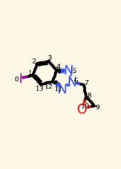 Ic1ccc2nn(CC3CO3)nc2c1